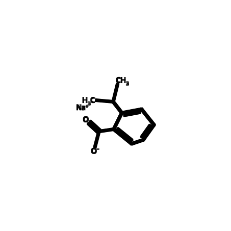 CC(C)c1ccccc1C(=O)[O-].[Na+]